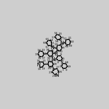 c1ccc(-c2ccc3c(c2)N(c2cc(-c4ccncc4)cc(-c4ccncc4)c2)c2cc(-c4ccccc4)cc4c2B3c2ccc(N(c3ccccc3)c3ccccc3)cc2N4c2ccccc2)cc1